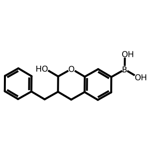 OB(O)c1ccc2c(c1)OC(O)C(Cc1ccccc1)C2